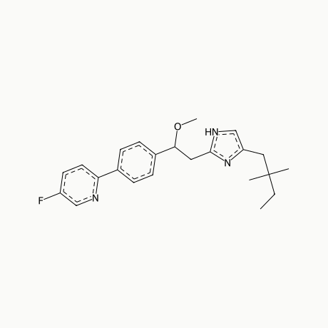 CCC(C)(C)Cc1c[nH]c(CC(OC)c2ccc(-c3ccc(F)cn3)cc2)n1